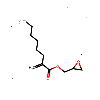 C=C(CCCCCCCCCCCCC)C(=O)OCC1CO1